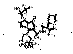 CC(NC(=O)c1c(N)nn2cccnc12)c1cc(Cl)c2ccnn2c1N1CCS(=O)(=O)C(C)(C)C1.O=C(O)C(F)(F)F